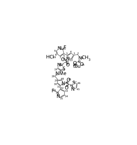 CN(Cc1cc(-c2cccnc2F)n(S(=O)(=O)c2nccs2)c1)C(=O)OC(C)(C)C.CNCc1cc(-c2cccnc2F)n(S(=O)(=O)c2nccs2)c1.Cl